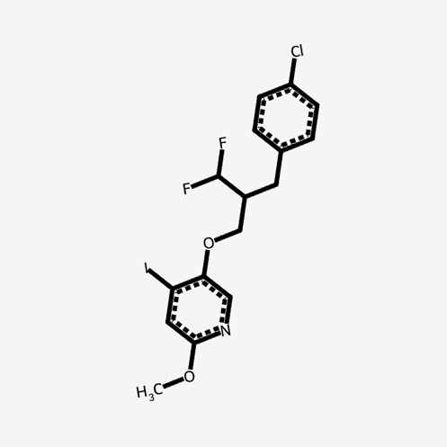 COc1cc(I)c(OCC(Cc2ccc(Cl)cc2)C(F)F)cn1